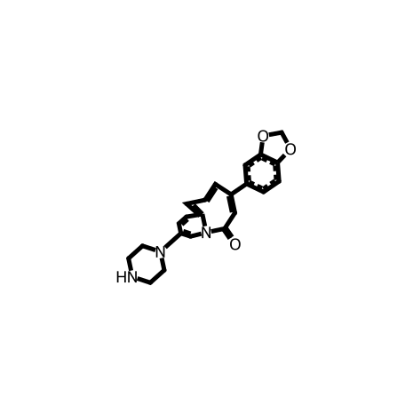 O=C1\C=C(c2ccc3c(c2)OCO3)/C=C/C=C2\C=CC(N3CCNCC3)=CN12